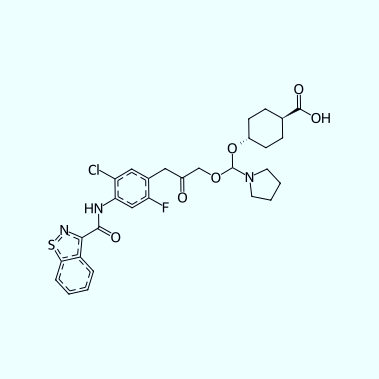 O=C(COC(O[C@H]1CC[C@H](C(=O)O)CC1)N1CCCC1)Cc1cc(Cl)c(NC(=O)c2nsc3ccccc23)cc1F